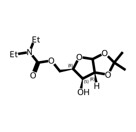 CCN(CC)C(=O)OC[C@H]1OC2OC(C)(C)O[C@@H]2[C@H]1O